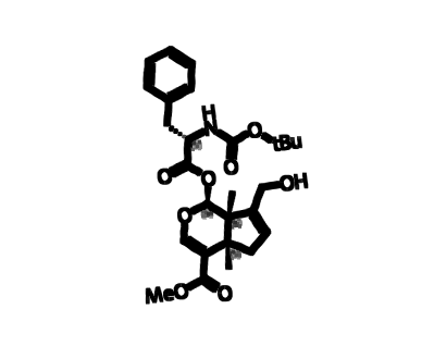 COC(=O)C1=CO[C@@H](OC(=O)[C@H](Cc2ccccc2)NC(=O)OC(C)(C)C)[C@]2(C)C(CO)=CC[C@]12C